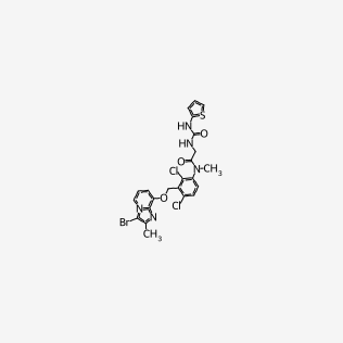 Cc1nc2c(OCc3c(Cl)ccc(N(C)C(=O)CNC(=O)Nc4cccs4)c3Cl)cccn2c1Br